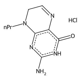 CCCN1CC=Nc2c1nc(N)[nH]c2=O.Cl